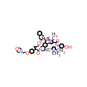 Cc1c(N(C(=O)c2cc(-c3cc4c(cc3C(=O)N3Cc5ccccc5C[C@H]3COCC3CC3)CN(C(=O)Cc3ccc(OCCN5CCOCC5)cc3F)CC4)n(C)c2C)c2ccc(O)cc2)cc(C#N)n1C